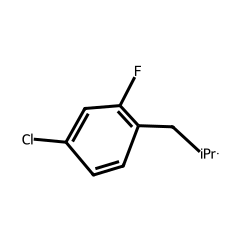 C[C](C)Cc1ccc(Cl)cc1F